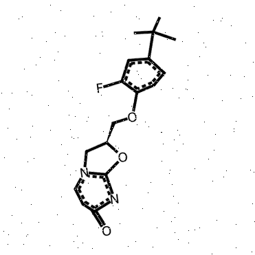 CC(C)(C)c1ccc(OC[C@@H]2Cn3ccc(=O)nc3O2)c(F)c1